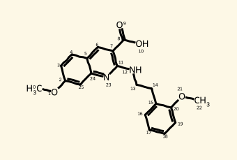 COc1ccc2cc(C(=O)O)c(NCCc3ccccc3OC)nc2c1